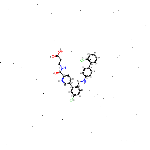 O=C(O)CCNC(=O)c1ccc(-c2cc(Cl)ccc2CNc2ccc(-c3ccccc3Cl)cc2)cn1